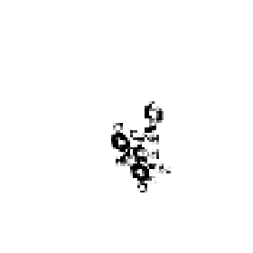 CC(C)(C)C[C@H]1N[C@@H](C(=O)NCCN2CCOCC2)[C@H](c2cccc(Cl)c2)[C@@]12C(=O)Nc1cc(Cl)c(F)cc12